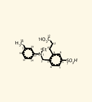 CCN(Cc1ccc(S(=O)(=O)O)cc1CCC(=O)O)c1cccc(C)c1